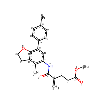 C=C(CCC(=O)OC(C)(C)C)C(=O)Nc1cc(-c2ccc(C(C)C)cc2)c2c(c1C#N)CCO2